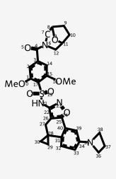 COc1cc(C(=O)N2CC3CCC(C2)O3)cc(OC)c1S(=O)(=O)Nc1noc2c1CC1(CC1)c1ccc(N3CCC3)cc1-2